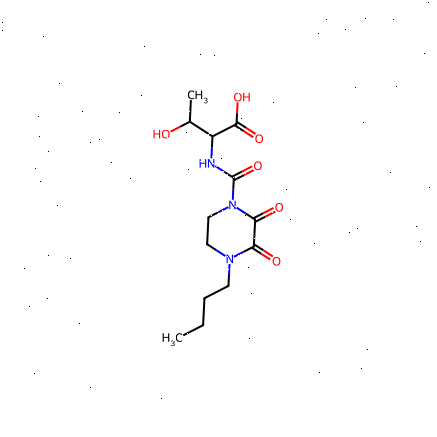 CCCCN1CCN(C(=O)NC(C(=O)O)C(C)O)C(=O)C1=O